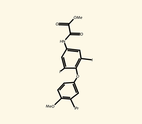 COC(=O)C(=O)Nc1cc(I)c(Oc2ccc(OC)c(C(C)C)c2)c(I)c1